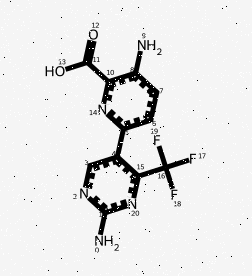 Nc1ncc(-c2ccc(N)c(C(=O)O)n2)c(C(F)(F)F)n1